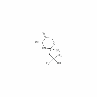 C=C1COC(CC(O)(C(F)(F)F)C(F)(F)F)(C(F)(F)F)NC1=O